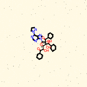 O=C(c1ccccc1)C(O)[C@H]1O[C@@H](n2cnc3c(-n4cccn4)ncnc32)[C@@](O)(C(=O)c2ccccc2)[C@@]1(O)C(=O)c1ccccc1